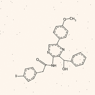 COc1ccc(-c2cnc(NC(=O)Cc3ccc(F)cc3)c(C(O)c3ccccc3)n2)cc1